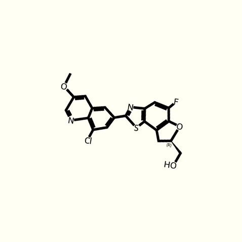 COc1cnc2c(Cl)cc(-c3nc4cc(F)c5c(c4s3)C[C@H](CO)O5)cc2c1